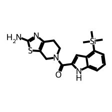 C[Si](C)(C)c1cccc2[nH]c(C(=O)N3CCc4nc(N)sc4C3)cc12